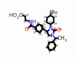 CC(c1ccccc1)N1CC(c2ccc(C(=O)NCCC(=O)O)cc2)N(C2CCC(C(C)(C)C)CC2)C1=O